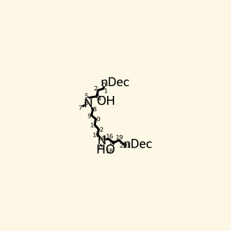 CCCCCCCCCCCCC(O)CN(C)CCCCCCN(C)CC(O)CCCCCCCCCCCC